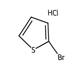 Brc1cccs1.Cl